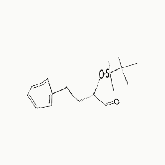 CC(C)(C)[Si](C)(C)O[C@H](C=O)CCc1ccccc1